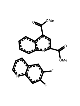 COC(=O)c1cc(C(=O)OC)c2ccccc2n1.Fc1cc2cccnc2cc1F